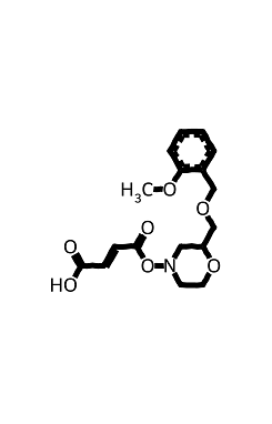 COc1ccccc1COCC1CN(OC(=O)/C=C/C(=O)O)CCO1